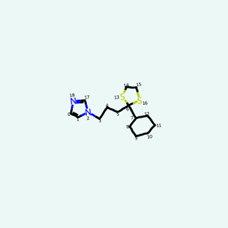 c1cn(CCCC2(C3CCCCC3)SCCS2)cn1